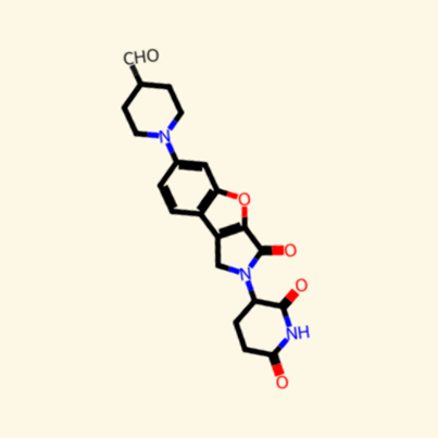 O=CC1CCN(c2ccc3c4c(oc3c2)C(=O)N(C2CCC(=O)NC2=O)C4)CC1